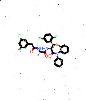 C[C@H](NC(=O)Cc1cc(F)cc(F)c1)C(=O)N[C@@H]1C(=O)N(c2ccccc2)c2ccccc2S[C@@H]1c1cc(F)ccc1F